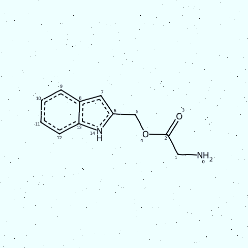 NCC(=O)OCc1cc2ccccc2[nH]1